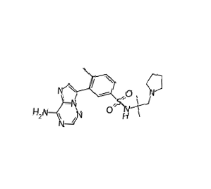 Cc1ccc(S(=O)(=O)NC(C)(C)CN2CCCC2)cc1-c1cnc2c(N)ncnn12